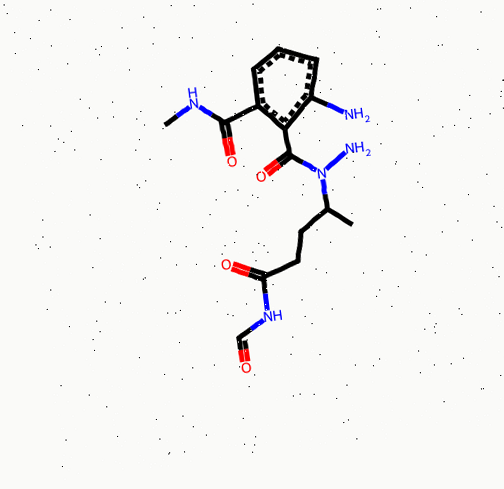 CNC(=O)c1cccc(N)c1C(=O)N(N)C(C)CCC(=O)NC=O